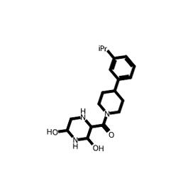 CC(C)c1cccc(C2CCN(C(=O)C3NCC(O)NC3O)CC2)c1